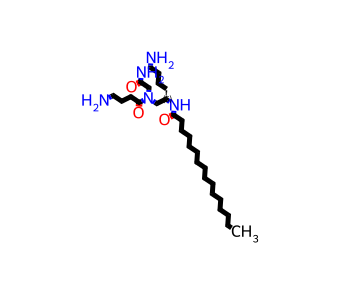 CCCCCCCCCCCCCCCC(=O)N[C@@H](CCCCN)CN(CC(N)=O)C(=O)CCCN